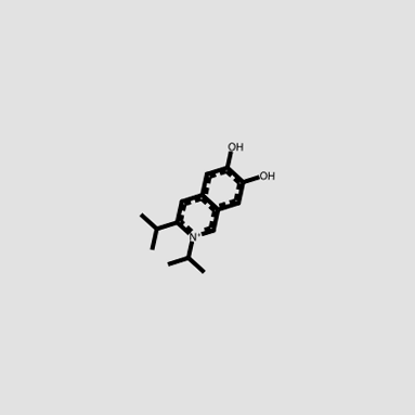 CC(C)c1cc2cc(O)c(O)cc2c[n+]1C(C)C